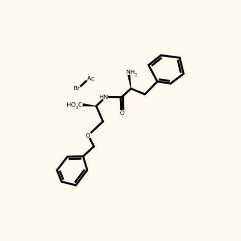 CC(=O)Br.N[C@@H](Cc1ccccc1)C(=O)N[C@@H](COCc1ccccc1)C(=O)O